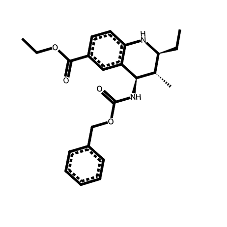 CCOC(=O)c1ccc2c(c1)[C@H](NC(=O)OCc1ccccc1)[C@@H](C)[C@H](CC)N2